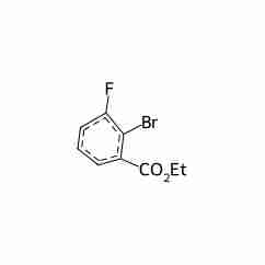 CCOC(=O)c1cccc(F)c1Br